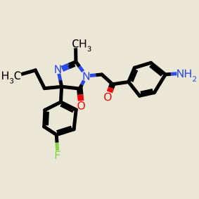 CCCC1(c2ccc(F)cc2)N=C(C)N(CC(=O)c2ccc(N)cc2)C1=O